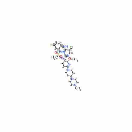 COc1nc(N2CCC(N3CCN(C)CC3)CC2)ccc1Nc1ncc(Cl)c(Nc2ccc(F)cc2NS(C)(=O)=O)n1